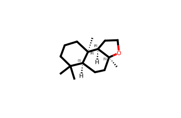 CC1(C)CCC[C@@]2(C)[C@H]3CCO[C@@]3(C)CC[C@@H]12